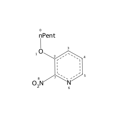 CCCCCOc1cccnc1[N+](=O)[O-]